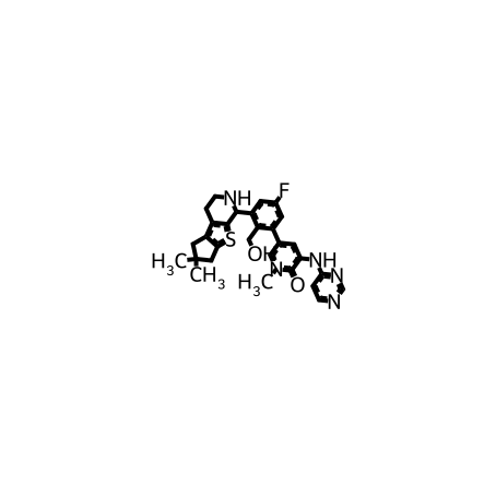 Cn1cc(-c2cc(F)cc(C3NCCc4c3sc3c4CC(C)(C)C3)c2CO)cc(Nc2ccncn2)c1=O